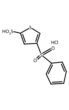 Cl.O=S(=O)(O)c1cc(S(=O)(=O)c2ccccc2)cs1